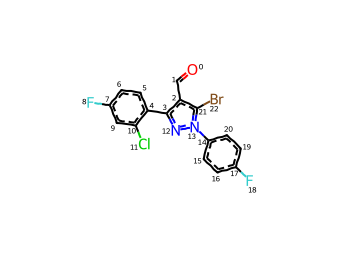 O=Cc1c(-c2ccc(F)cc2Cl)nn(-c2ccc(F)cc2)c1Br